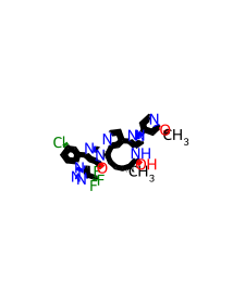 COc1cc(-n2cc3c(n2)-c2ccnc(c2)[C@@H](n2cnc(-c4cc(Cl)ccc4-n4cc(C(F)(F)F)nn4)cc2=O)CCC[C@@H](C)C(O)N3)ccn1